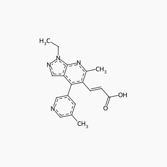 CCn1ncc2c(-c3cncc(C)c3)c(/C=C/C(=O)O)c(C)nc21